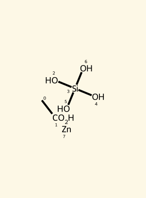 CC(=O)O.O[Si](O)(O)O.[Zn]